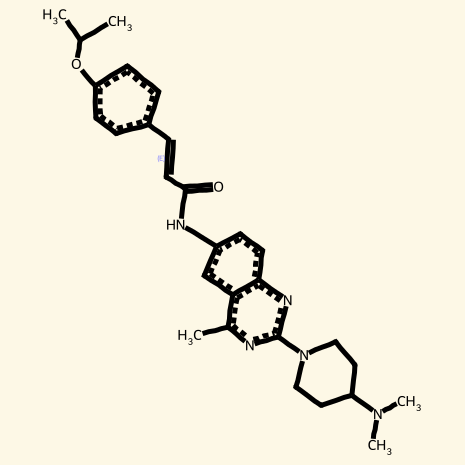 Cc1nc(N2CCC(N(C)C)CC2)nc2ccc(NC(=O)/C=C/c3ccc(OC(C)C)cc3)cc12